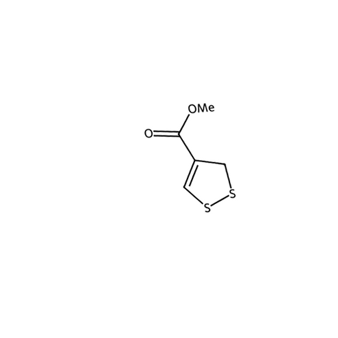 COC(=O)C1=CSSC1